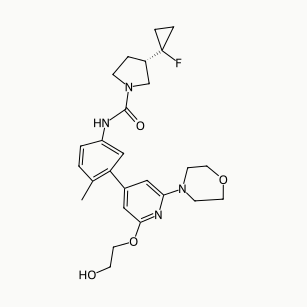 Cc1ccc(NC(=O)N2CC[C@H](C3(F)CC3)C2)cc1-c1cc(OCCO)nc(N2CCOCC2)c1